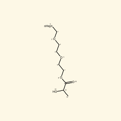 CCCCCCCCOCCOCCOC(=O)C(C)O